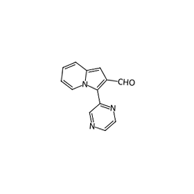 O=Cc1cc2ccccn2c1-c1cnccn1